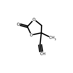 C#CC1(C)COC(=O)O1